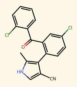 Cc1[nH]cc(C#N)c1-c1ccc(Cl)cc1C(=O)c1ccccc1Cl